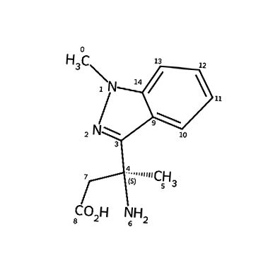 Cn1nc([C@@](C)(N)CC(=O)O)c2ccccc21